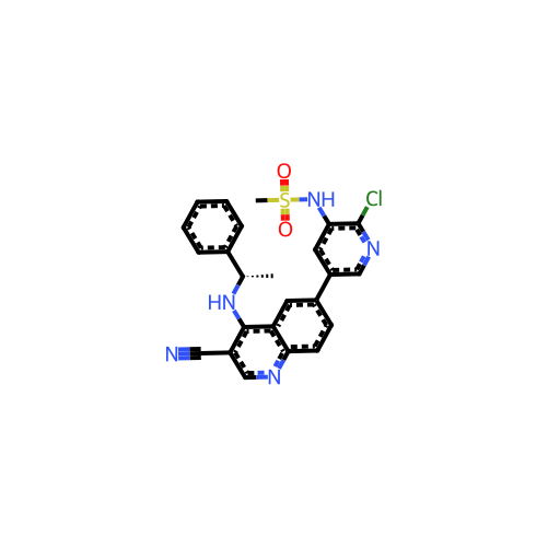 C[C@H](Nc1c(C#N)cnc2ccc(-c3cnc(Cl)c(NS(C)(=O)=O)c3)cc12)c1ccccc1